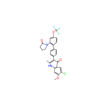 COc1cc2[nH]c(C)c(-c3ccc(-c4ccc(OC(F)(F)F)cc4N4CCCC4=O)cc3)c(=O)c2cc1Cl